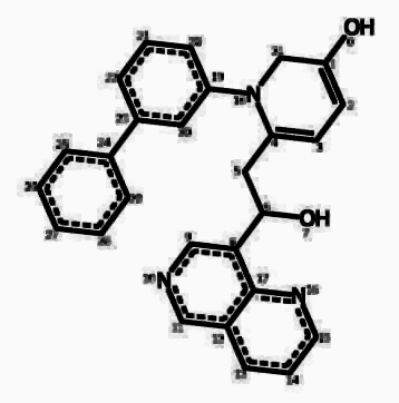 OC1=CC=C(CC(O)c2cncc3cccnc23)N(c2cccc(-c3ccccc3)c2)C1